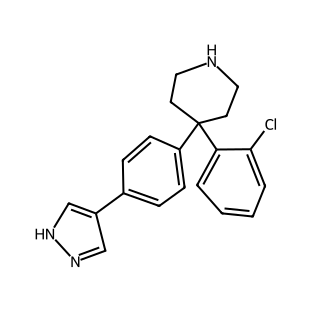 Clc1ccccc1C1(c2ccc(-c3cn[nH]c3)cc2)CCNCC1